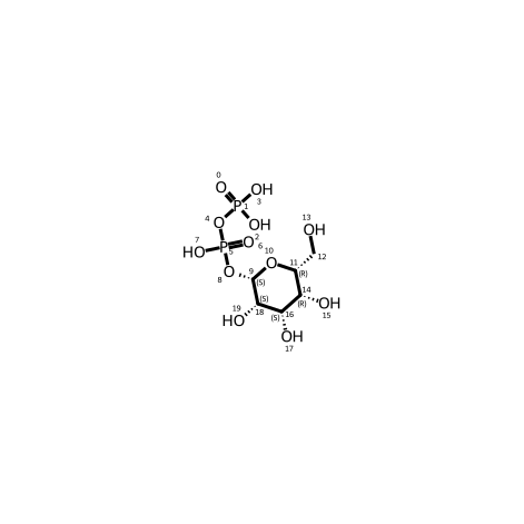 O=P(O)(O)OP(=O)(O)O[C@@H]1O[C@H](CO)[C@H](O)[C@H](O)[C@@H]1O